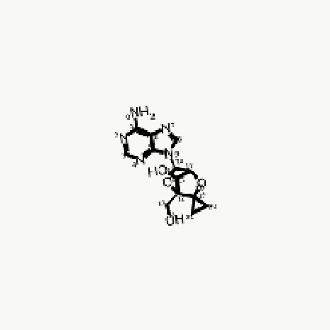 Nc1ncnc2c1ncn2[C@@H]1O[C@]2(CO)C(O)C1OC21CC1